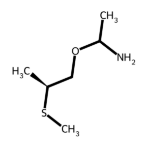 CS[C@@H](C)COC(C)N